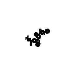 O=C(N1CC[C@@H](Cn2cnc(-c3ccccc3)cc2=O)C2(CCCC2)C1)N1CC[C@@H](NC2CC(F)(F)C2)C[C@H]1c1ccccc1